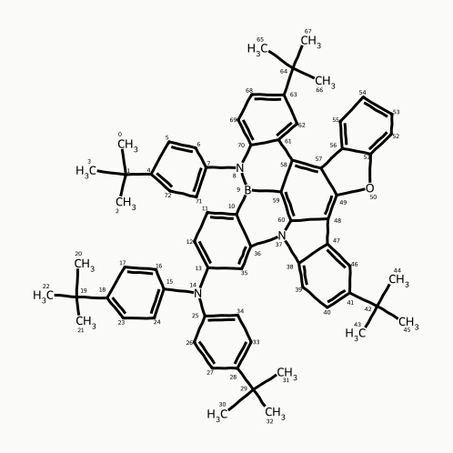 CC(C)(C)c1ccc(N2B3c4ccc(N(c5ccc(C(C)(C)C)cc5)c5ccc(C(C)(C)C)cc5)cc4-n4c5ccc(C(C)(C)C)cc5c5c6oc7ccccc7c6c(c3c54)-c3cc(C(C)(C)C)ccc32)cc1